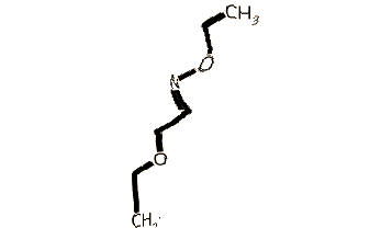 [CH2]COCC=NOCC